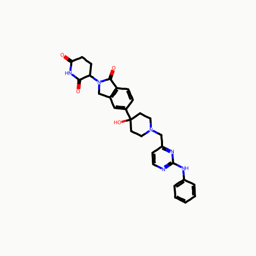 O=C1CCC(N2Cc3cc(C4(O)CCN(Cc5ccnc(Nc6ccccc6)n5)CC4)ccc3C2=O)C(=O)N1